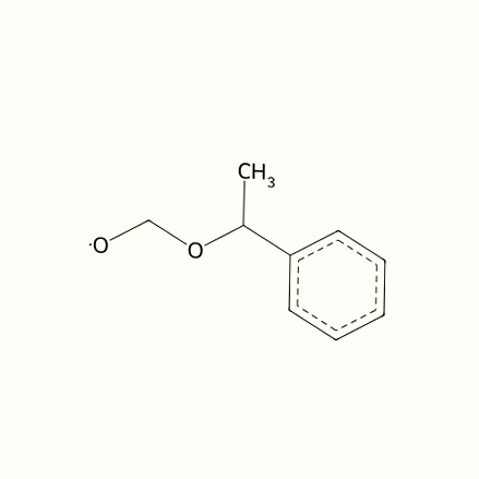 CC(OC[O])c1ccccc1